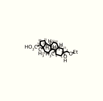 CCOC[C@@]1(O)CC[C@@]2(C)[C@H](CC[C@@H]3[C@@H]2CC[C@]2(C)[C@@H](C(=O)O)CC[C@@H]32)C1